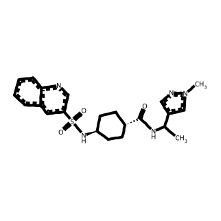 CC(NC(=O)[C@H]1CC[C@H](NS(=O)(=O)c2cnc3ccccc3c2)CC1)c1cnn(C)c1